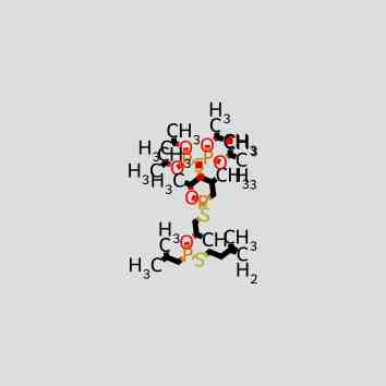 C=C(C)CCSP(CC(C)C)OC(C)CSP(CC(C)CSP(OC(C)C)OC(C)C)OC(C)CSP(OC(C)C)OC(C)C